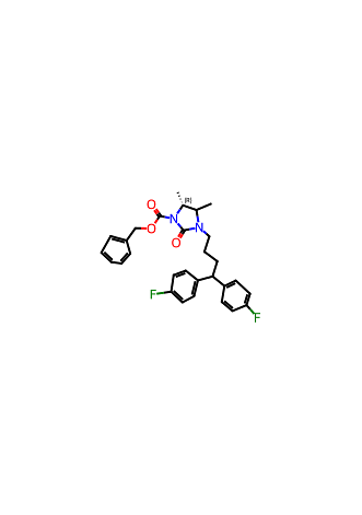 CC1[C@@H](C)N(C(=O)OCc2ccccc2)C(=O)N1CCCC(c1ccc(F)cc1)c1ccc(F)cc1